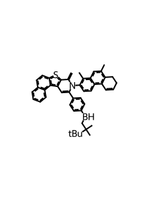 C=C1c2sc3ccc4ccccc4c3c2C=C(c2ccc(BCC(C)(C)C(C)(C)C)cc2)N1c1ccc2c3c(c(C)cc2c1C)CCC=C3